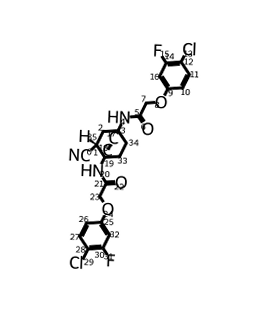 N#C[C@@H]1CC2(NC(=O)COc3ccc(Cl)c(F)c3)CCC1(NC(=O)COc1ccc(Cl)c(F)c1)CC2